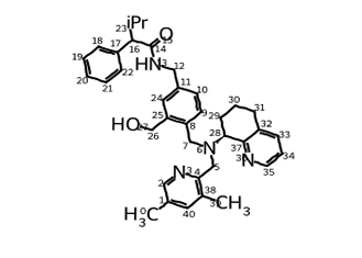 Cc1cnc(CN(Cc2ccc(CNC(=O)C(c3ccccc3)C(C)C)cc2CO)[C@H]2CCCc3cccnc32)c(C)c1